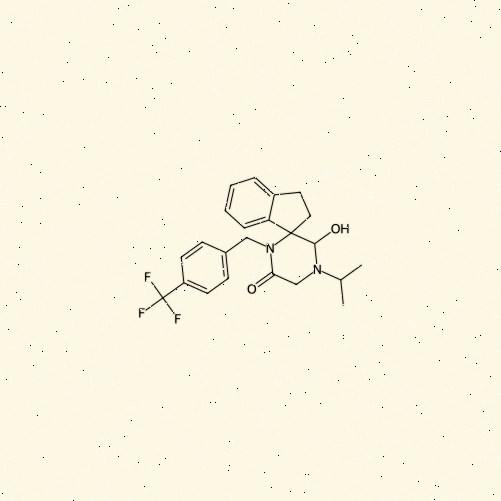 CC(C)N1CC(=O)N(Cc2ccc(C(F)(F)F)cc2)C2(CCc3ccccc32)C1O